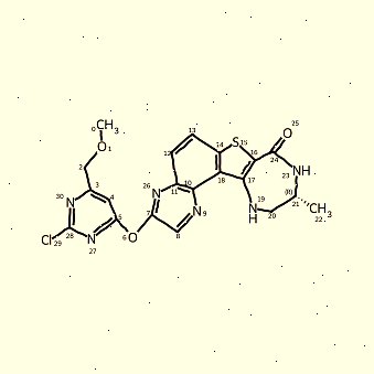 COCc1cc(Oc2cnc3c(ccc4sc5c(c43)NC[C@@H](C)NC5=O)n2)nc(Cl)n1